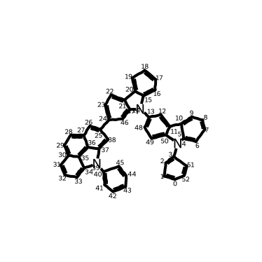 c1ccc(-n2c3ccccc3c3cc(-n4c5ccccc5c5ccc(-c6cc7ccc8cccc9c8c7c(c6)n9-c6ccccc6)cc54)ccc32)cc1